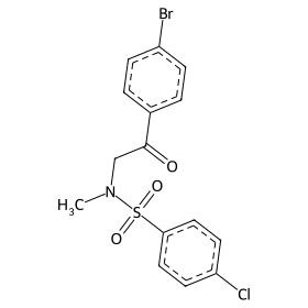 CN(CC(=O)c1ccc(Br)cc1)S(=O)(=O)c1ccc(Cl)cc1